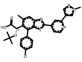 Cc1cc2nc(-c3ccnc(-c4cnn(C)c4)c3)sc2c(-c2ccc(Cl)cc2)c1[C@H](OC(C)(C)C)C(=O)O